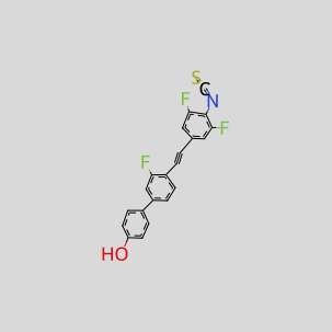 Oc1ccc(-c2ccc(C#Cc3cc(F)c(N=C=S)c(F)c3)c(F)c2)cc1